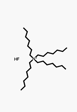 CCCCCCC[N+](CCCCCCC)(CCCCCCC)CCCCCCC.F